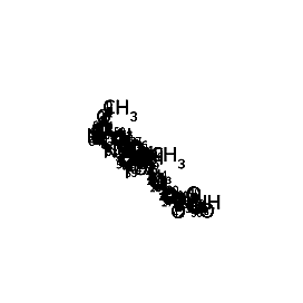 CCOc1cc(-c2ccc(N3CCC(CN(C)C(=O)CCN4CCC(c5ccc6c(c5)CN(C5CCC(=O)NC5=O)C6=O)CC4)(NC(=O)c4cc(F)ccc4F)CC3)nc2)c2c(C#N)cnn2c1